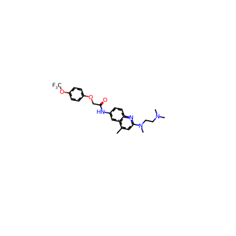 Cc1cc(N(C)CCN(C)C)nc2ccc(NC(=O)COc3ccc(OC(F)(F)F)cc3)cc12